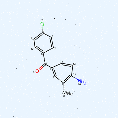 CNc1cc(C(=O)c2ccc(Cl)cc2)ccc1N